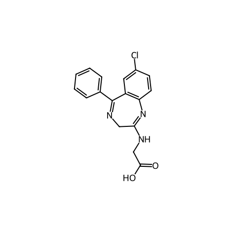 O=C(O)CNC1=Nc2ccc(Cl)cc2C(c2ccccc2)=NC1